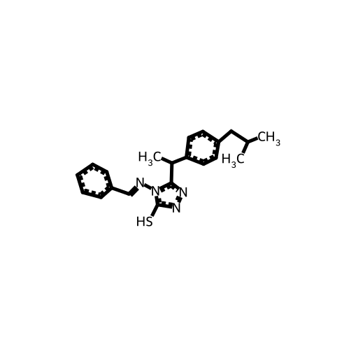 CC(C)Cc1ccc(C(C)c2nnc(S)n2/N=C/c2ccccc2)cc1